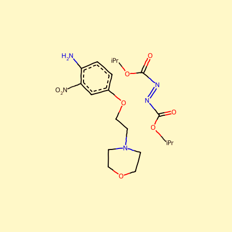 CC(C)OC(=O)N=NC(=O)OC(C)C.Nc1ccc(OCCN2CCOCC2)cc1[N+](=O)[O-]